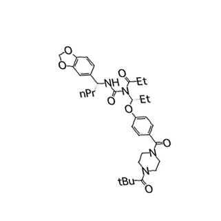 CCC[C@@H](NC(=O)N(C(=O)CC)[C@H](CC)Oc1ccc(C(=O)N2CCN(C(=O)C(C)(C)C)CC2)cc1)c1ccc2c(c1)OCO2